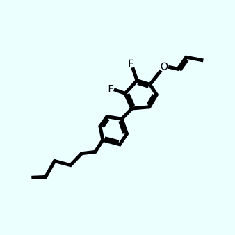 C/C=C/Oc1ccc(-c2ccc(CCCCCC)cc2)c(F)c1F